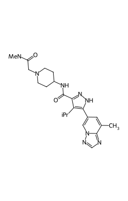 CNC(=O)CN1CCC(NC(=O)c2n[nH]c(-c3cc(C)c4ncnn4c3)c2C(C)C)CC1